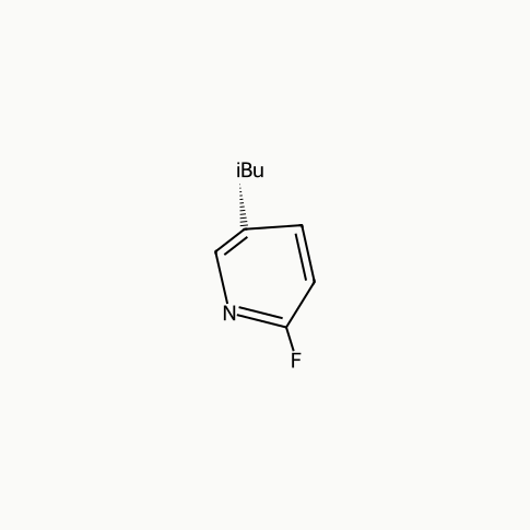 CC[C@@H](C)c1ccc(F)nc1